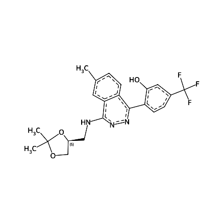 Cc1ccc2c(-c3ccc(C(F)(F)F)cc3O)nnc(NC[C@H]3COC(C)(C)O3)c2c1